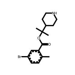 Cc1ccc(Br)cc1C(=O)OC(C)(C)C1CCNCC1